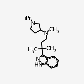 CC(C)N1CCC(N(C)CCC(C)(C)c2n[nH]c3ccccc23)C1